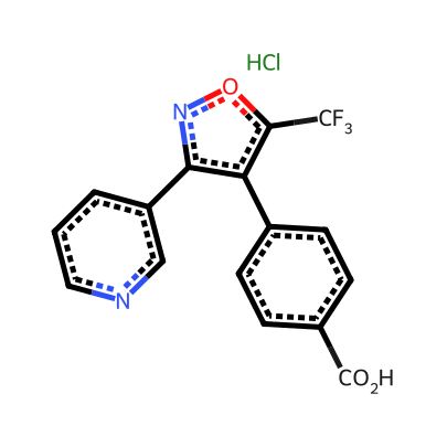 Cl.O=C(O)c1ccc(-c2c(-c3cccnc3)noc2C(F)(F)F)cc1